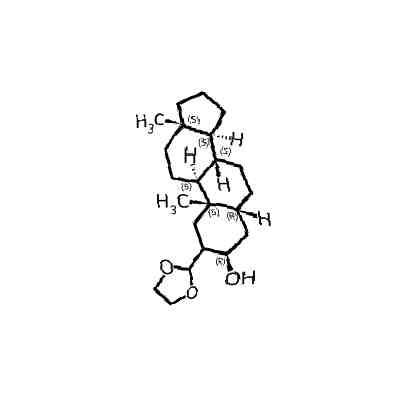 C[C@@]12CCC[C@H]1[C@@H]1CC[C@@H]3C[C@@H](O)C(C4OCCO4)C[C@]3(C)[C@H]1CC2